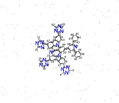 Cc1nc(C)nc(-c2ccc3c(c2)c2cc(-c4nc(C)nc(C)n4)ccc2n3-c2cc(-c3cc(-c4ccccc4)nc(-c4ccccc4)c3)cc(-n3c4ccc(-c5nc(C)nc(C)n5)cc4c4cc(-c5nc(C)nc(C)n5)ccc43)c2C#N)n1